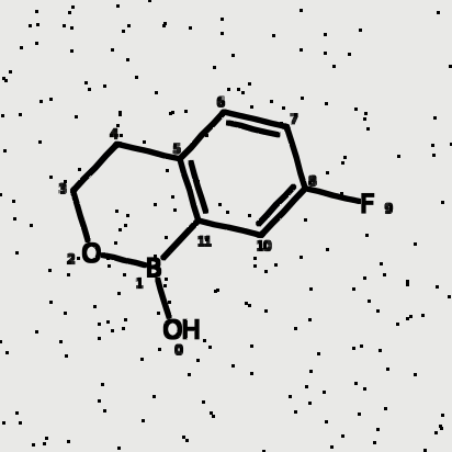 OB1OCCc2ccc(F)cc21